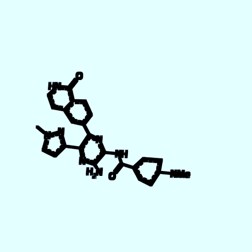 CNc1ccc(C(=O)Nc2nc(-c3ccc4c(=O)[nH]ccc4c3)c(-c3ccn(C)n3)nc2N)cc1